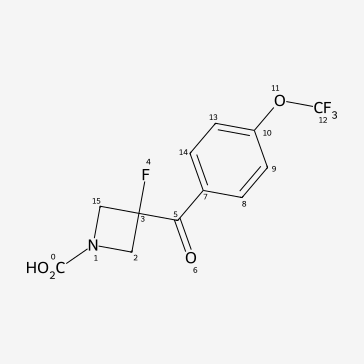 O=C(O)N1CC(F)(C(=O)c2ccc(OC(F)(F)F)cc2)C1